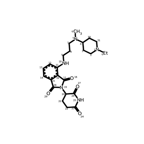 CCN1CCC(N(C)CCCNc2cccc3c2C(=O)N(C2CCC(=O)NC2=O)C3=O)CC1